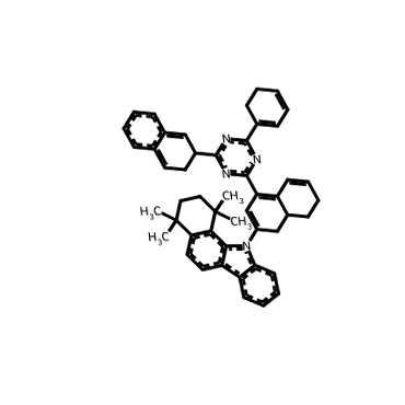 CC1(C)CCC(C)(C)c2c1ccc1c3ccccc3n(C3=CC(c4nc(C5=CC=CCC5)nc(C5C=c6ccccc6=CC5)n4)=C4C=CCCC4C3)c21